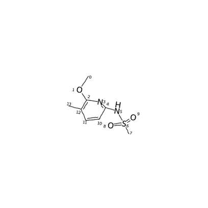 COc1nc(NS(C)(=O)=O)ccc1C